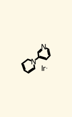 C1=CCN(c2cccnc2)C=C1.[Ir]